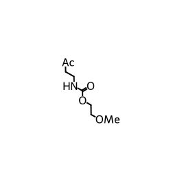 COCCOC(=O)NCCC(C)=O